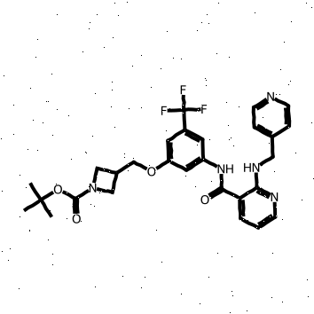 CC(C)(C)OC(=O)N1CC(COc2cc(NC(=O)c3cccnc3NCc3ccncc3)cc(C(F)(F)F)c2)C1